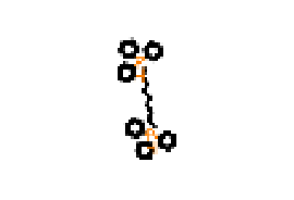 c1ccc([PH](CCCCCCCCC[PH](c2ccccc2)(c2ccccc2)c2ccccc2)(c2ccccc2)c2ccccc2)cc1